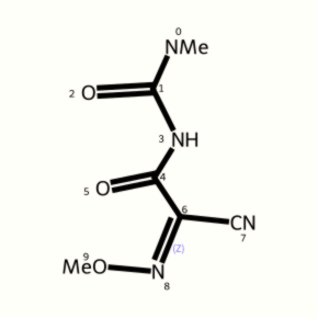 CNC(=O)NC(=O)/C(C#N)=N\OC